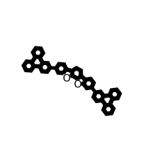 c1ccc2c(c1)c1ccccc1c1cc(-c3ccc4c(c3)oc3c4ccc4c5ccc(-c6ccc7c8ccccc8c8ccccc8c7c6)cc5oc43)ccc21